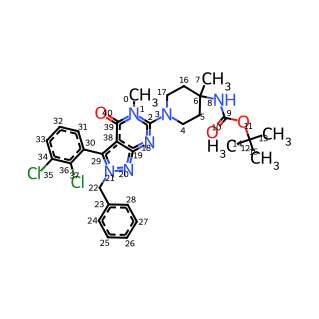 Cn1c(N2CCC(C)(NC(=O)OC(C)(C)C)CC2)nc2nn(Cc3ccccc3)c(-c3cccc(Cl)c3Cl)c2c1=O